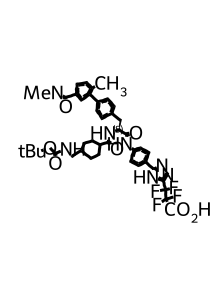 CNC(=O)c1ccc(C)c(-c2ccc(C[C@H](NC(=O)C3CCC(CNC(=O)OC(C)(C)C)CC3)C(=O)Nc3ccc(-c4nnc(C(F)(F)C(F)(F)C(=O)O)[nH]4)cc3)cc2)c1